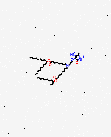 C=C1NNC(=O)C(NCCCN(CCCCCCCC(=O)OC(CC)CCCCCCCC)CCCCCCCC(=O)OC(CCCCCCCC)CCCCCCCC)=C1NC